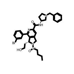 CCCC[S+]([O-])N1Cc2cc(C(=O)N[C@@H]3CCN(Cc4ccccc4)C3)nc(-c3cccc(Br)c3)c2[C@H]1CCO